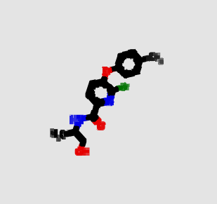 CC(CO)NC(=O)c1ccc(Oc2ccc(C(F)(F)F)cc2)c(Br)n1